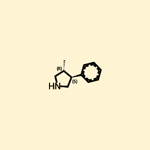 C[C@H]1CNC[C@@H]1c1ccccc1